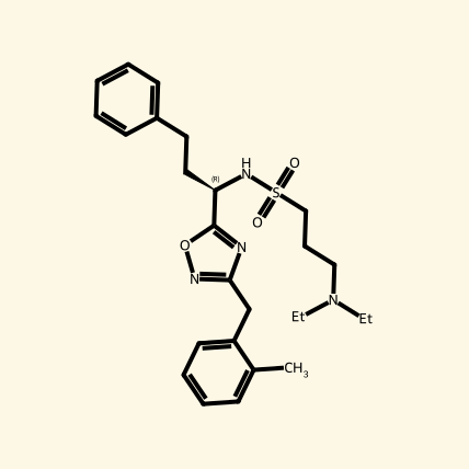 CCN(CC)CCCS(=O)(=O)N[C@H](CCc1ccccc1)c1nc(Cc2ccccc2C)no1